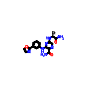 CC[C@@H](Nc1cnc(C(N)=O)c(Nc2cccc(-c3ncco3)c2)n1)C(N)=O